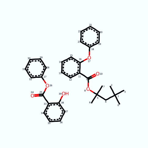 CC(C)(C)CC(C)(C)OC(=O)c1ccccc1Oc1ccccc1.O=C(Oc1ccccc1)c1ccccc1O